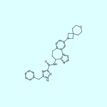 O=C(NC1CCc2ccc(N3CC4(CCOCC4)C3)cc2-n2ccnc21)c1n[nH]c(Cc2ccccc2)n1